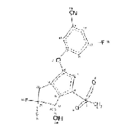 CS(=O)(=O)c1sc(Oc2cc(F)cc(C#N)c2)c2c1[C@H](O)C(F)(F)C2